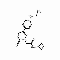 O=C(Cn1nc(-c2cnc(OCC(F)(F)F)nc2)ccc1=O)NC1CCC1